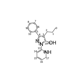 CCCc1c(-c2ccccc2)nn(C2=CC=CCN2)c1O